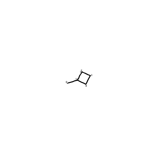 CC1[C]CC1